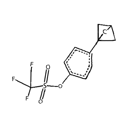 O=S(=O)(Oc1ccc(C23CC(C2)C3)cc1)C(F)(F)F